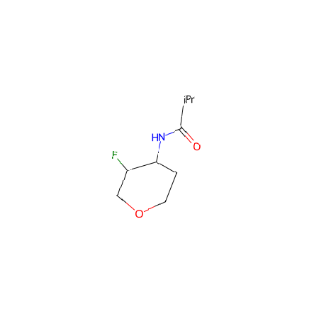 CC(C)C(=O)NC1CCOCC1F